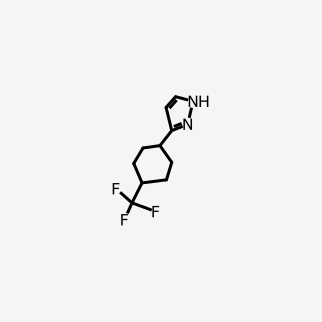 FC(F)(F)C1CCC(c2cc[nH]n2)CC1